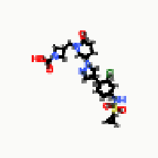 O=C(O)N1CC(Cn2cc(-n3cc(-c4ccc(NS(=O)(=O)C5CC5)cc4Cl)cn3)ccc2=O)C1